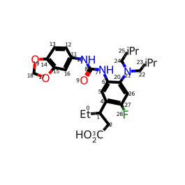 CCC(CC(=O)O)c1cc(NC(=O)Nc2ccc3c(c2)OCO3)c(N(CC(C)C)CC(C)C)cc1F